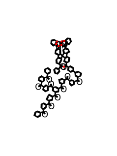 O=C(c1ccccc1)c1cccc(C(=O)c2cccc(C(=O)c3cc(C(=O)c4cccc(C(=O)c5cccc(C(=O)c6ccccc6)c5)c4)cc(C(=O)c4cccc(C(=O)c5cccc(C(=O)c6cccc(-c7ccc(C(=O)c8ccc9c(c8)C8(c%10cc(C(=O)c%11ccccc%11)ccc%10-c%10ccc(N(c%11ccccc%11)c%11ccccc%11)cc%108)c8cc(N(c%10ccccc%10)c%10ccccc%10)ccc8-9)cc7)c6)c5)c4)c3)c2)c1